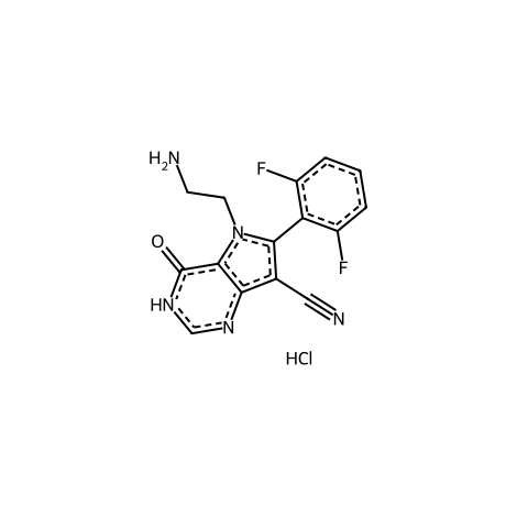 Cl.N#Cc1c(-c2c(F)cccc2F)n(CCN)c2c(=O)[nH]cnc12